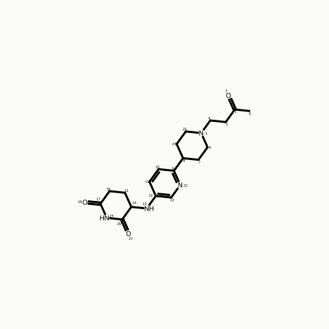 CC(=O)CCN1CCC(c2ccc(NC3CCC(=O)NC3=O)cn2)CC1